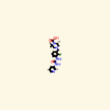 C[C@@H]1CN(Cc2cccc(NC(=O)Nc3cccnc3)c2F)CC(C)(C)N1C(=O)O